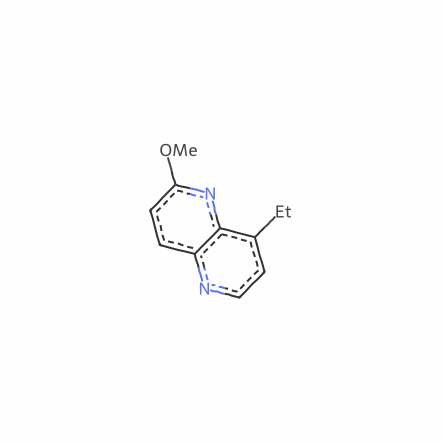 CCc1ccnc2ccc(OC)nc12